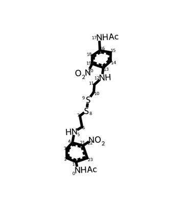 CC(=O)Nc1ccc(NCCSSCCNc2ccc(NC(C)=O)cc2[N+](=O)[O-])c([N+](=O)[O-])c1